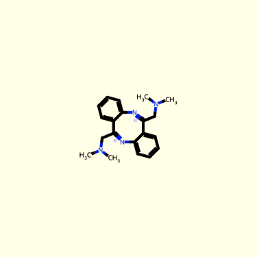 CN(C)C/C1=N/c2ccccc2/C(CN(C)C)=N\c2ccccc21